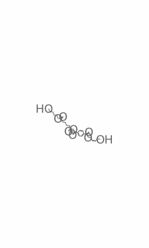 O=C(CCCCC(=O)OC(=O)c1ccc(C(=O)OC/C=C\CO)cc1)OCCCCO